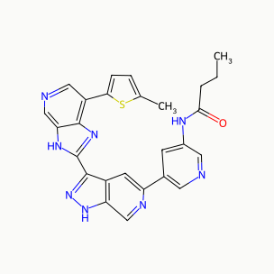 CCCC(=O)Nc1cncc(-c2cc3c(-c4nc5c(-c6ccc(C)s6)cncc5[nH]4)n[nH]c3cn2)c1